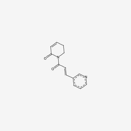 O=C1C=CCCN1C(=O)/C=C/c1cccnc1